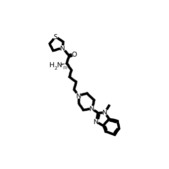 Cn1c(N2CCN(CCCC[C@H](N)C(=O)N3CCSC3)CC2)nc2ccccc21